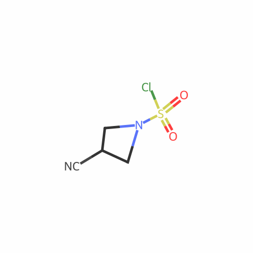 N#CC1CN(S(=O)(=O)Cl)C1